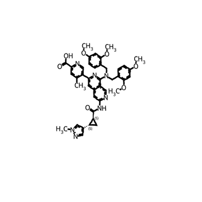 COc1ccc(CN(Cc2ccc(OC)cc2OC)c2nc(-c3cnc(C(=O)O)cc3C)cc3cc(NC(=O)[C@H]4C[C@@H]4c4cnn(C)c4)ncc23)c(OC)c1